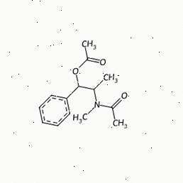 CC(=O)OC(c1ccccc1)C(C)N(C)C(C)=O